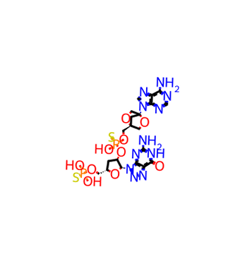 Nc1nc2c(nnn2[C@@H]2O[C@H](COP(O)(O)=S)C[C@H]2OP(O)(=S)OC[C@@]23CO[C@](n4cnc5c(N)ncnc54)(CO2)C3)c(=O)[nH]1